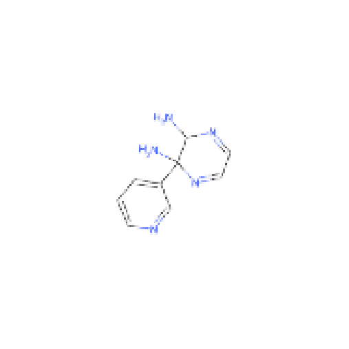 NC1N=CC=NC1(N)c1cccnc1